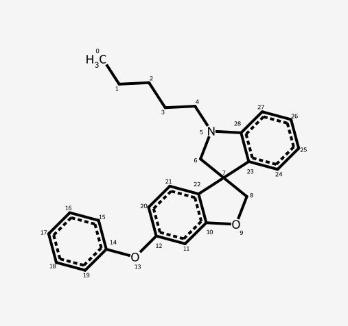 CCCCCN1CC2(COc3cc(Oc4ccccc4)ccc32)c2ccccc21